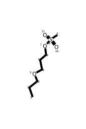 CCCOCCCOS(C)(=O)=O